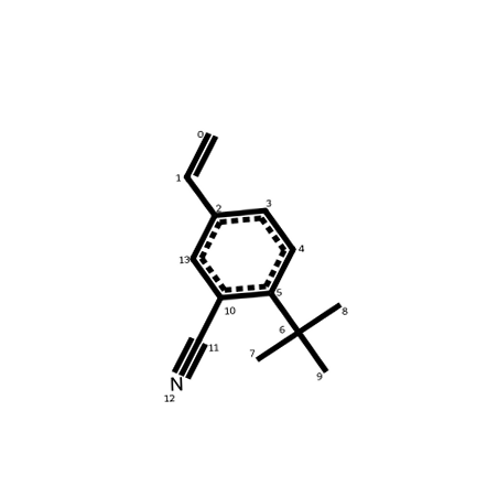 C=[C]c1ccc(C(C)(C)C)c(C#N)c1